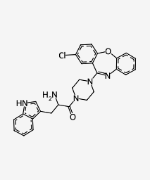 NC(Cc1c[nH]c2ccccc12)C(=O)N1CCN(C2=Nc3ccccc3Oc3ccc(Cl)cc32)CC1